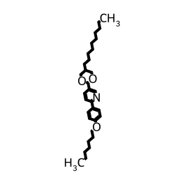 CCCCCCCCCCC1COC(c2ccc(-c3ccc(OCCCCCCC)cc3)nc2)OC1